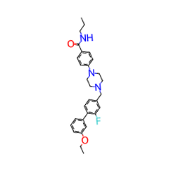 CCCNC(=O)c1ccc(N2CCN(Cc3ccc(-c4cccc(OCC)c4)c(F)c3)CC2)cc1